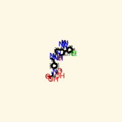 O=C(O)C(F)CN(C(=O)O)c1ccc(-c2cnc([C@@H]3CCc4cc(-c5cc(Cl)ccc5-n5cnnn5)cc(=O)n43)[nH]2)cc1